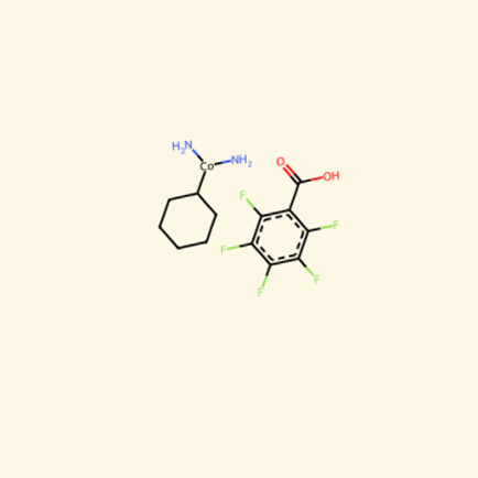 O=C(O)c1c(F)c(F)c(F)c(F)c1F.[NH2][Co]([NH2])[CH]1CCCCC1